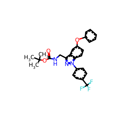 CC(C)(C)OC(=O)NCc1nn(-c2ccc(C(F)(F)F)cc2)c2ccc(Oc3ccccc3)cc12